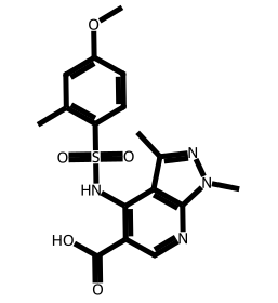 COc1ccc(S(=O)(=O)Nc2c(C(=O)O)cnc3c2c(C)nn3C)c(C)c1